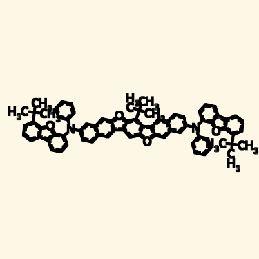 CC(C)(C)c1cccc2c1oc1c(N(c3ccccc3)c3ccc4cc5c(cc4c3)oc3c(C(C)(C)C)c4c(cc35)oc3cc5cc(N(c6ccccc6)c6cccc7c6oc6c(C(C)(C)C)cccc67)ccc5cc34)cccc12